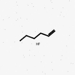 C=CCCCC.F